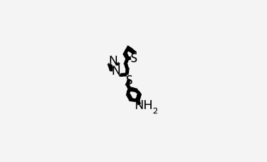 Nc1ccc(CSC(CCc2cccs2)Cn2ccnc2)cc1